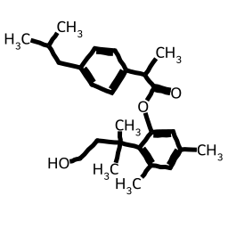 Cc1cc(C)c(C(C)(C)CCO)c(OC(=O)C(C)c2ccc(CC(C)C)cc2)c1